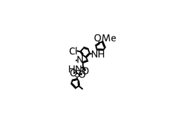 COc1cccc(Nc2ccc(Cl)c3c2cc(C(=O)NS(=O)(=O)c2cccc(C)c2)n3C)c1